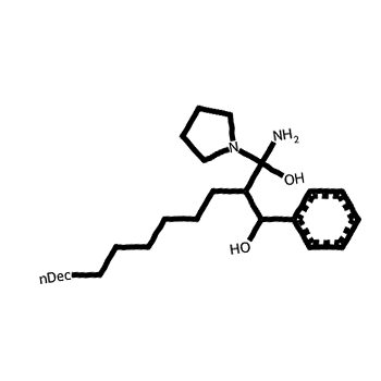 CCCCCCCCCCCCCCCCC(C(O)c1ccccc1)C(N)(O)N1CCCC1